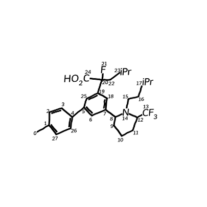 Cc1ccc(-c2cc(C3CCCC(C(F)(F)F)N3CCC(C)C)cc(C(F)(CC(C)C)C(=O)O)c2)cc1